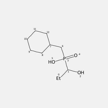 CCC(O)P(=O)(O)CC1CCCCC1